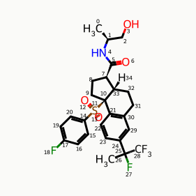 C[C@@H](CO)NC(=O)[C@@H]1CC[C@@]2(S(=O)(=O)c3ccc(F)cc3)c3ccc(C(C)(F)C(F)(F)F)cc3CC[C@@H]12